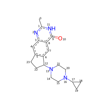 Cc1nc2cc3c(cc2c(=O)[nH]1)C(N1CCN(C2CC2)CC1)CC3